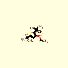 CCC(C)(C)c1cc(OCC(F)(F)F)c(C(C)(C)CC)s1